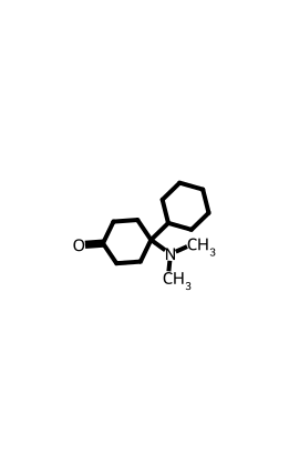 CN(C)C1(C2CCCCC2)CCC(=O)CC1